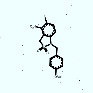 COc1ccc(CN2c3ccc(F)c([N+](=O)[O-])c3CS2(=O)=O)cc1